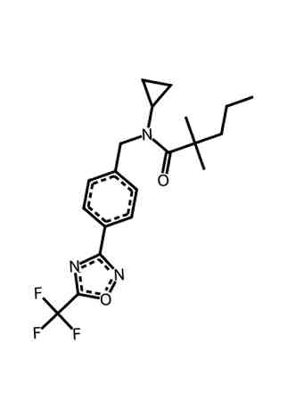 CCCC(C)(C)C(=O)N(Cc1ccc(-c2noc(C(F)(F)F)n2)cc1)C1CC1